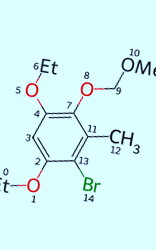 CCOc1cc(OCC)c(OCOC)c(C)c1Br